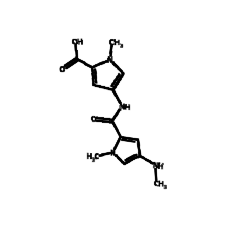 CNc1cc(C(=O)Nc2cc(C(=O)O)n(C)c2)n(C)c1